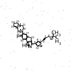 CC(C)OCC#Cc1cc(-c2n[nH]c3c2Cc2cc(N4CCN5CCC=C5C4)c(F)cc2-3)cs1